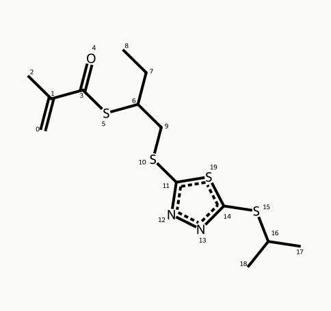 C=C(C)C(=O)SC(CC)CSc1nnc(SC(C)C)s1